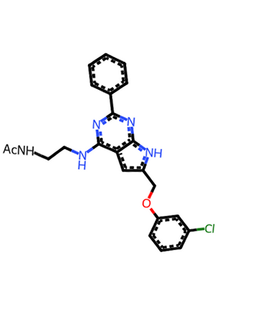 CC(=O)NCCNc1nc(-c2ccccc2)nc2[nH]c(COc3cccc(Cl)c3)cc12